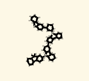 CC1(C)c2ccccc2-c2ccc(-n3c4ccccc4c4cc(-c5ccc6c(c5)c5ccccc5n6-c5cccc(-c6ccc7sc8ccccc8c7c6)c5)ccc43)cc21